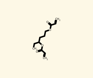 C=CC(=O)OCCCC(CC)OC(=O)C=C